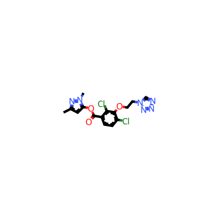 Cc1cc(OC(=O)c2ccc(Cl)c(OCCn3cnnn3)c2Cl)n(C)n1